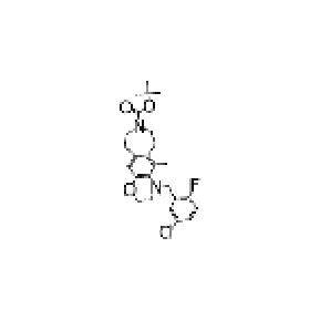 Cc1c2c(cc3c1N(Cc1cc(Cl)ccc1F)CCO3)CCN(C(=O)OC(C)(C)C)CC2